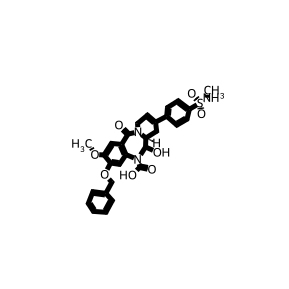 CNS(=O)(=O)c1ccc(C2=CCN3C(=O)c4cc(OC)c(OCc5ccccc5)cc4N(C(=O)O)C(O)[C@@H]3C2)cc1